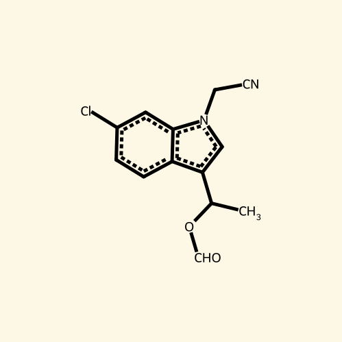 CC(OC=O)c1cn(CC#N)c2cc(Cl)ccc12